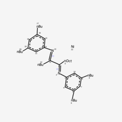 CCCCCCCCC(=N\c1cc(CCCC)cc(CCCC)c1)/C(CCCC)=N/c1cc(CCCC)cc(CCCC)c1.[Ni]